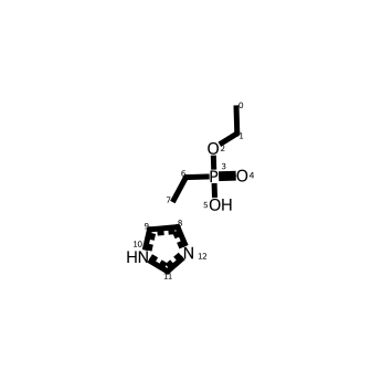 CCOP(=O)(O)CC.c1c[nH]cn1